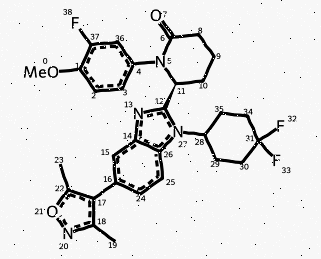 COc1ccc(N2C(=O)CCC[C@H]2c2nc3cc(-c4c(C)noc4C)ccc3n2C2CCC(F)(F)CC2)cc1F